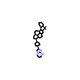 CC1(C)c2ccccc2-c2c1cc1ccc3c(-c4ccc(-c5cn6cccnc6n5)cc4)ccc4ccc2c1c43